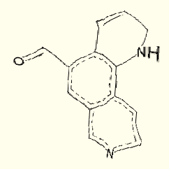 O=Cc1cc2cnccc2c2c1C=CCN2